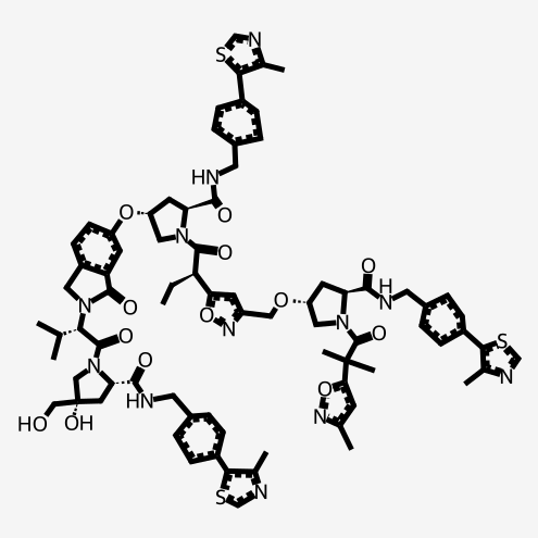 CC[C@@H](C(=O)N1C[C@H](Oc2ccc3c(c2)C(=O)N([C@H](C(=O)N2C[C@](O)(CO)C[C@H]2C(=O)NCc2ccc(-c4scnc4C)cc2)C(C)C)C3)C[C@H]1C(=O)NCc1ccc(-c2scnc2C)cc1)c1cc(CO[C@@H]2C[C@@H](C(=O)NCc3ccc(-c4scnc4C)cc3)N(C(=O)C(C)(C)c3cc(C)no3)C2)no1